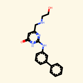 O=c1cc(CNCCO)nc(Nc2cccc(-c3ccccc3)c2)[nH]1